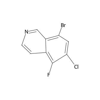 Fc1c(Cl)cc(Br)c2cnccc12